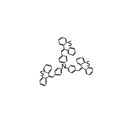 C(=C1c2ccccc2Sc2ccccc21)c1ccc(N(c2ccc(C=C3c4ccccc4Sc4ccccc43)cc2)c2ccc(C=C3c4ccccc4Sc4ccccc43)cc2)cc1